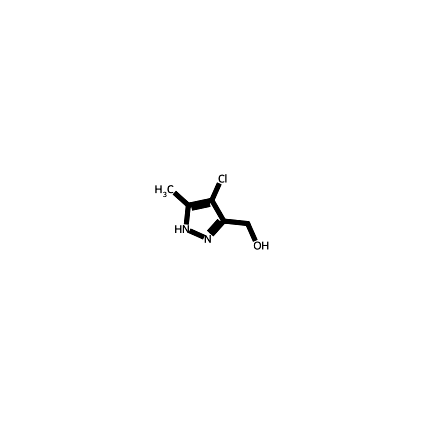 Cc1[nH]nc(CO)c1Cl